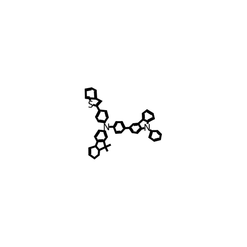 CC1(C)c2cc(N(c3ccc(-c4ccc5c(c4)c4ccccc4n5-c4ccccc4)cc3)c3ccc(-c4cc5ccccc5s4)cc3)ccc2C2C=CCCC21